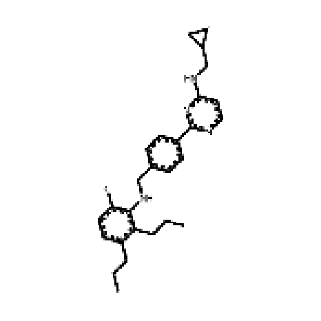 CCCc1ccc(Cl)c(NCc2ccc(-c3nccc(NCC4CC4)n3)cc2)c1CCC